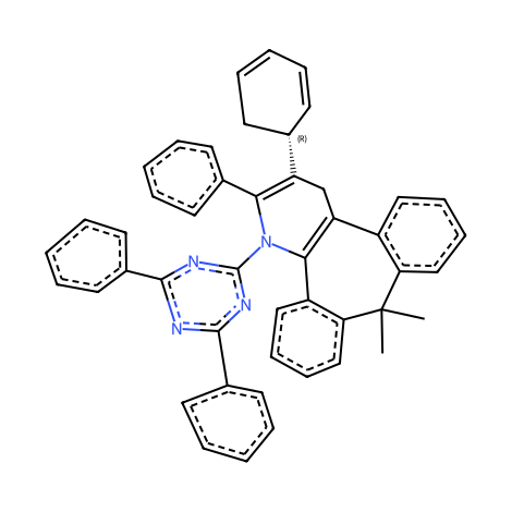 CC1(C)c2ccccc2C2=C(c3ccccc31)N(c1nc(-c3ccccc3)nc(-c3ccccc3)n1)C(c1ccccc1)=C([C@H]1C=CC=CC1)C2